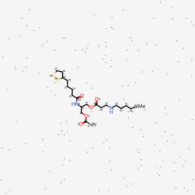 CCCC(=O)OCC(COC(=O)CCNCCCCNC)NC(=O)CCCCC1CCSS1